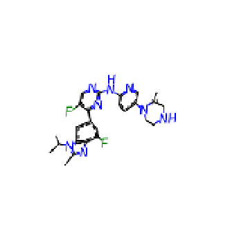 Cc1nc2c(F)cc(-c3nc(Nc4ccc(N5CCNC[C@@H]5C)cn4)ncc3F)cc2n1C(C)C